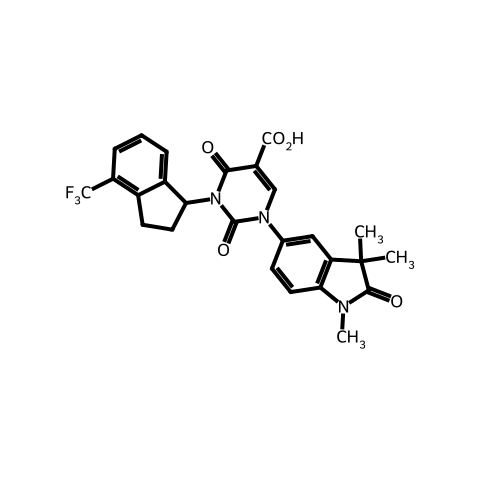 CN1C(=O)C(C)(C)c2cc(-n3cc(C(=O)O)c(=O)n(C4CCc5c4cccc5C(F)(F)F)c3=O)ccc21